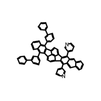 c1ccc(-c2cccc(-c3c4c(c(-c5cccc(-c6ccccc6)c5)c5ccccc35)-c3ccc5c6c(ccc-4c36)-c3c-5c(-c4cccnc4)c4cc5ccccc5cc4c3-c3cccnc3)c2)cc1